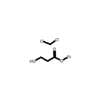 CCOC(=O)CCO.ClCCl